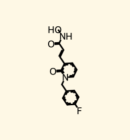 O=C(/C=C/c1cccn(Cc2ccc(F)cc2)c1=O)NO